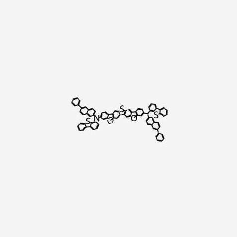 c1ccc(-c2ccc3cc(C(c4ccc5c(c4)oc4cc6c(cc45)sc4cc5c(cc46)oc4cc(N(c6ccc7cc(-c8ccccc8)ccc7c6)c6cccc7c6sc6ccccc67)ccc45)c4cccc5c4sc4ccccc45)ccc3c2)cc1